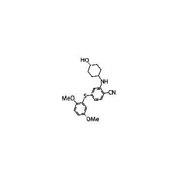 COc1ccc(OC)c(Sc2ccc(C#N)c(NC3CCC(O)CC3)c2)c1